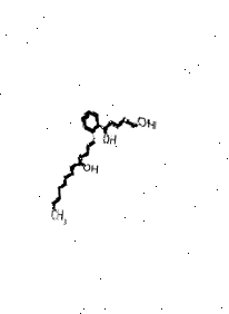 CCCCCCCCC(O)C=CC=C[C@@H]1CC=CC[C@H]1C(O)CCCCO